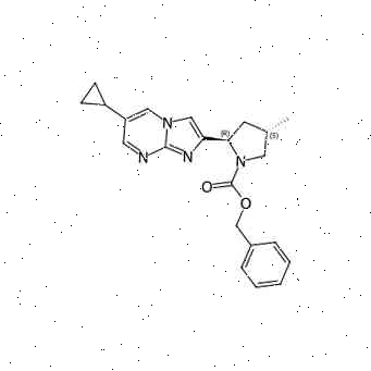 C[C@H]1C[C@H](c2cn3cc(C4CC4)cnc3n2)N(C(=O)OCc2ccccc2)C1